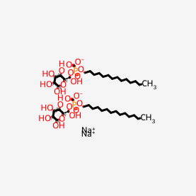 CCCCCCCCCCCCCCOP(=O)(OC(O)[C@H]1O[C@H](O)[C@H](O)[C@@H](O)[C@@H]1O)C(=O)[O-].CCCCCCCCCCCCCCOP(=O)(OC(O)[C@H]1O[C@H](O)[C@H](O)[C@@H](O)[C@@H]1O)C(=O)[O-].[Na+].[Na+]